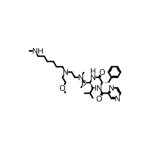 CNCCCCCCN(CCOC)CCN(C)B(C)[C@H](CC(C)C)NC(=O)[C@H](Cc1ccccc1)NC(=O)c1cnccn1